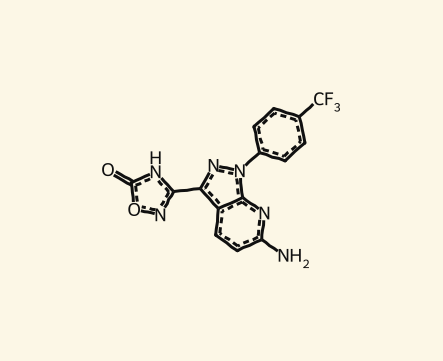 Nc1ccc2c(-c3noc(=O)[nH]3)nn(-c3ccc(C(F)(F)F)cc3)c2n1